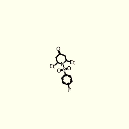 CCC1CC(=O)CC(CC)N1S(=O)(=O)c1ccc(F)cc1